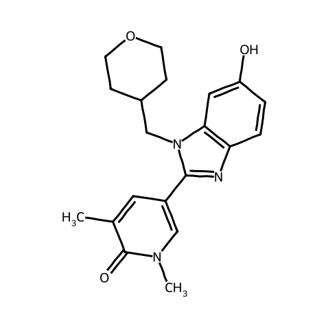 Cc1cc(-c2nc3ccc(O)cc3n2CC2CCOCC2)cn(C)c1=O